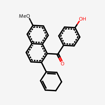 COc1ccc2c(C(=O)c3ccc(O)cc3)c(C3=CCCC=C3)ccc2c1